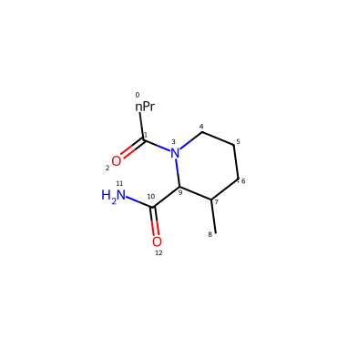 CCCC(=O)N1CC[CH]C(C)C1C(N)=O